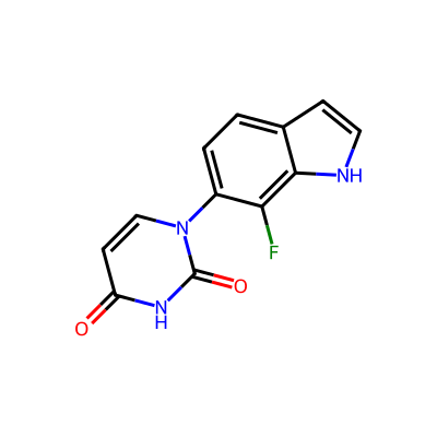 O=c1ccn(-c2ccc3cc[nH]c3c2F)c(=O)[nH]1